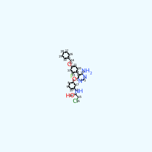 Nc1ncnc(Oc2cccc(NC(O)CCl)c2)c1-c1ccc(OCc2ccccc2)cc1F